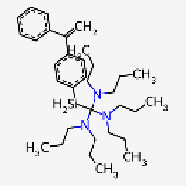 C=C(c1ccccc1)c1ccc([SiH2]C(N(CCC)CCC)(N(CCC)CCC)N(CCC)CCC)cc1